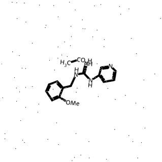 CC(=O)O.COc1ccccc1CNC(=N)Nc1cccnc1